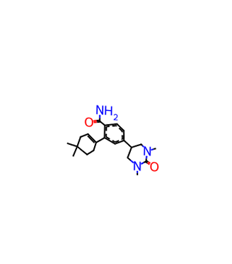 CN1CC(c2ccc(C(N)=O)c(C3=CCC(C)(C)CC3)c2)CN(C)C1=O